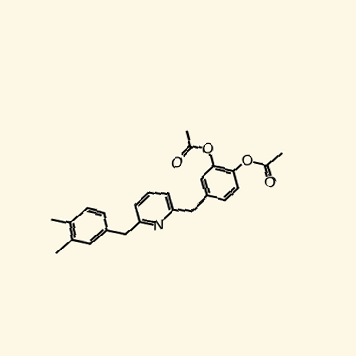 CC(=O)Oc1ccc(Cc2cccc(Cc3ccc(C)c(C)c3)n2)cc1OC(C)=O